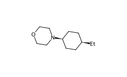 CC[C@H]1CC[C@@H](N2CCOCC2)CC1